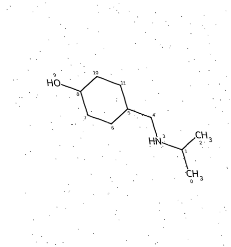 CC(C)NCC1CCC(O)CC1